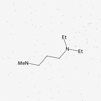 CCN(CC)CCCNC